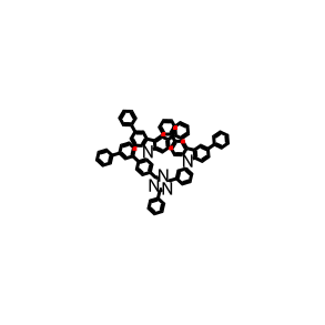 c1ccc(-c2cccc(-c3ccc(-c4nc(-c5ccccc5)nc(-c5cccc(-n6c7ccc(-c8ccccc8)cc7c7cc(-c8ccccc8)ccc76)c5)n4)cc3-n3c4ccc(-c5ccccc5)cc4c4cc(-c5ccccc5)ccc43)c2)cc1